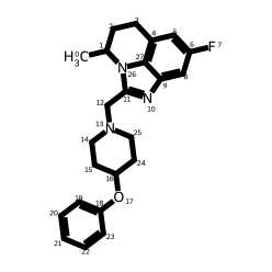 CC1CCc2cc(F)cc3nc(CN4CCC(Oc5ccccc5)CC4)n1c23